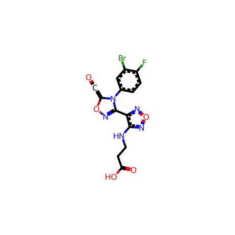 O=C=C1ON=C(c2nonc2NCCC(=O)O)N1c1ccc(F)c(Br)c1